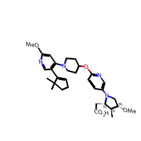 COc1cc(N2CCC(Oc3ccc(N4C[C@H](OC)[C@@H](C)[C@@H]4CC(=O)O)cn3)CC2)c(C2=CCCC2(C)C)cn1